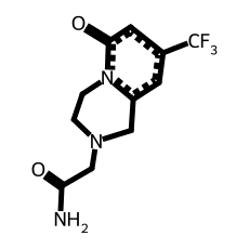 NC(=O)CN1CCn2c(cc(C(F)(F)F)cc2=O)C1